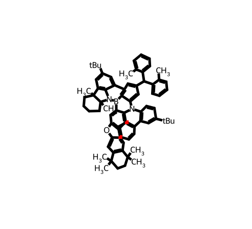 Cc1ccccc1C(c1cc2c3c(c1)N(c1ccc(C(C)(C)C)cc1-c1ccccc1)c1cc4c(cc1B3N1c3c-2cc(C(C)(C)C)cc3C2(C)CCCCC12C)oc1cc2c(cc14)C(C)(C)CCC2(C)C)c1ccccc1C